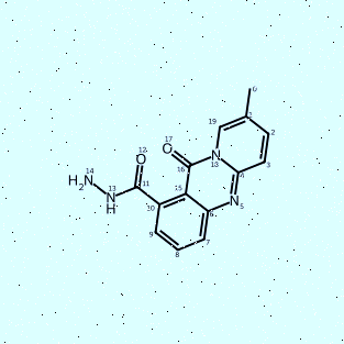 Cc1ccc2nc3cccc(C(=O)NN)c3c(=O)n2c1